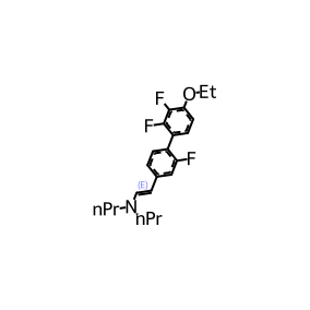 CCCN(/C=C/c1ccc(-c2ccc(OCC)c(F)c2F)c(F)c1)CCC